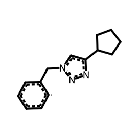 [c]1ccccc1Cn1cc(C2CCCC2)nn1